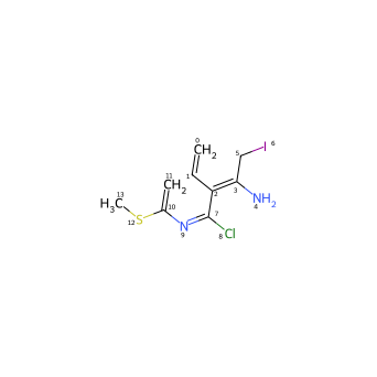 C=CC(=C(/N)CI)/C(Cl)=N\C(=C)SC